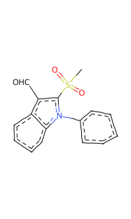 CS(=O)(=O)c1c(C=O)c2ccccc2n1-c1ccccc1